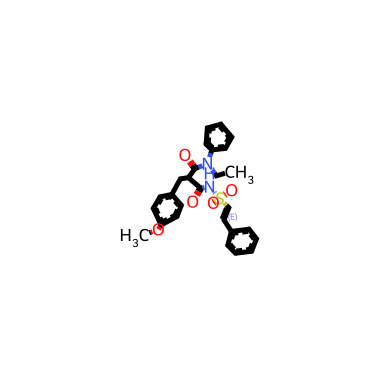 CCN(C(=O)C(Cc1ccc(OC)cc1)C(=O)NS(=O)(=O)/C=C/c1ccccc1)c1ccccc1